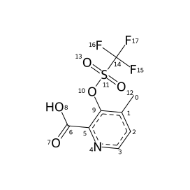 Cc1ccnc(C(=O)O)c1OS(=O)(=O)C(F)(F)F